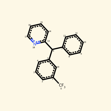 FC(F)(F)c1cccc(C(c2ccccc2)c2ccccn2)c1